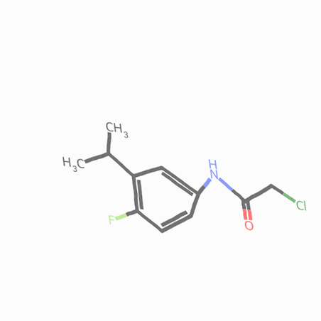 CC(C)c1cc(NC(=O)CCl)ccc1F